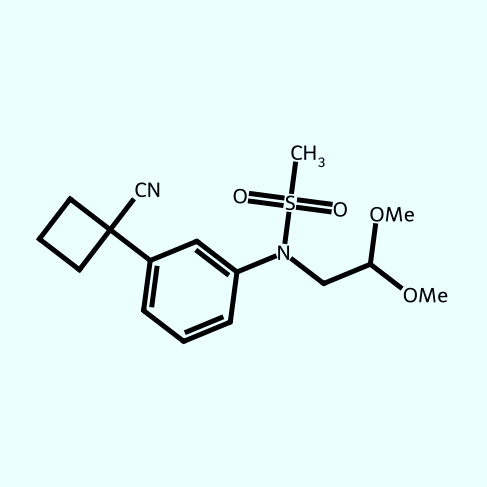 COC(CN(c1cccc(C2(C#N)CCC2)c1)S(C)(=O)=O)OC